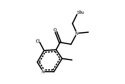 Cc1cncc(Cl)c1C(=O)CN(C)CC(C)(C)C